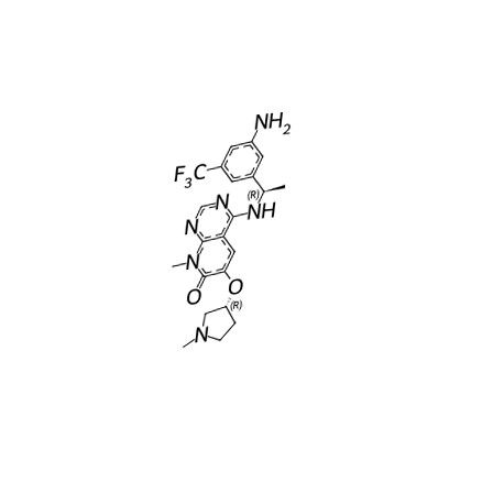 C[C@@H](Nc1ncnc2c1cc(O[C@@H]1CCN(C)C1)c(=O)n2C)c1cc(N)cc(C(F)(F)F)c1